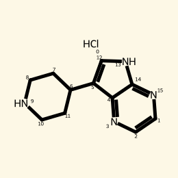 Cl.c1cnc2c(C3CCNCC3)c[nH]c2n1